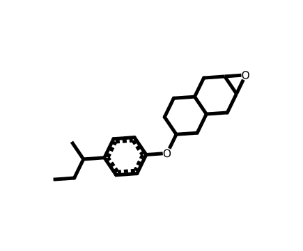 CCC(C)c1ccc(OC2CCC3CC4OC4CC3C2)cc1